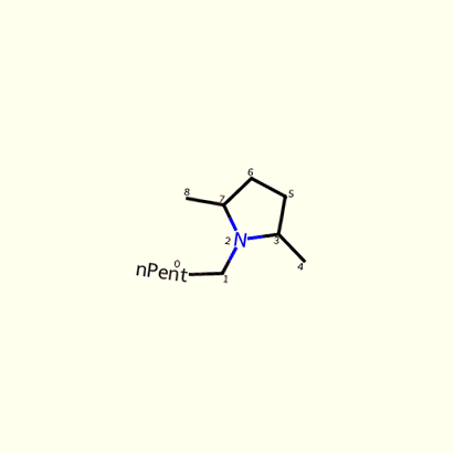 CCCCCCN1C(C)CCC1C